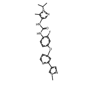 Cc1c(NC(=O)Nc2ccc(Oc3ccnc(-c4cnn(C)c4)c3)cc2F)cnn1C(C)C